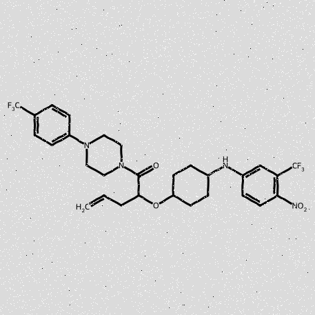 C=CCC(OC1CCC(Nc2ccc([N+](=O)[O-])c(C(F)(F)F)c2)CC1)C(=O)N1CCN(c2ccc(C(F)(F)F)cc2)CC1